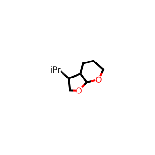 CC(C)C1COC2OCCCC21